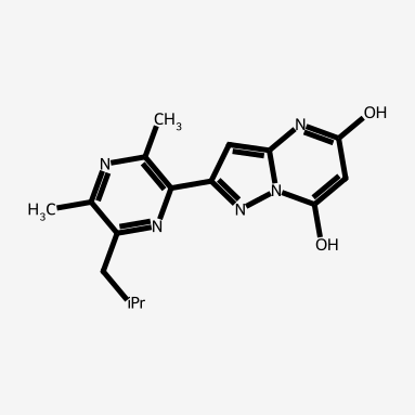 Cc1nc(C)c(-c2cc3nc(O)cc(O)n3n2)nc1CC(C)C